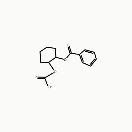 CC(C)C(=O)OC1CCCCC1OC(=O)c1ccccc1